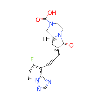 O=C(O)N1CCN2C(=O)[C@@H](CC#Cc3c(F)ccn4ncnc34)C[C@H]2C1